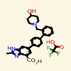 Cc1nc2c(C(=O)O)cc(-c3ccc(-c4ccccc4CN4CCC(O)CC4)cc3)cc2[nH]1.O=C(O)C(F)(F)F